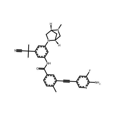 Cc1ccc(C(=O)Nc2cc(N3C[C@H]4C[C@@H]3CN4C)cc(C(C)(C)C#N)c2)cc1C#Cc1cnc(N)c(F)c1